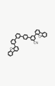 N#Cc1cc(-c2ccc(-c3cccc(-c4cccc(-c5cccc6c5oc5ccccc56)c4)c3)cc2)cc(-c2cccc3c2oc2ccccc23)c1